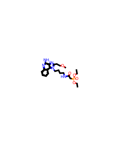 CCOP(=O)(CC(=O)NCCCCn1c(CCOC)nc2c(N)nc3ccccc3c21)OCC